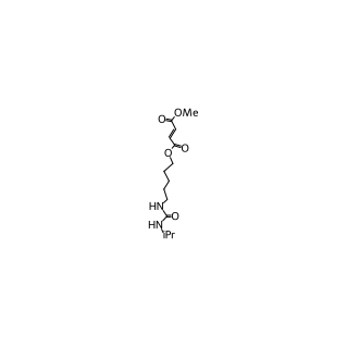 COC(=O)/C=C/C(=O)OCCCCCNC(=O)NC(C)C